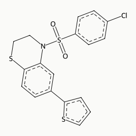 O=S(=O)(c1ccc(Cl)cc1)N1CCSc2ccc(-c3cccs3)cc21